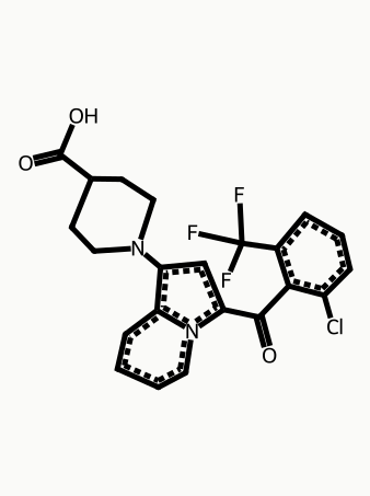 O=C(c1c(Cl)cccc1C(F)(F)F)c1cc(N2CCC(C(=O)O)CC2)c2ccccn12